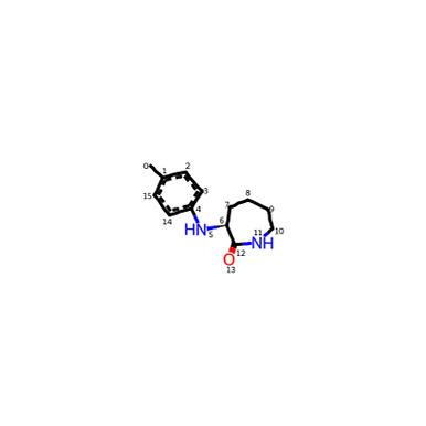 Cc1ccc(N[C@H]2CCCCNC2=O)cc1